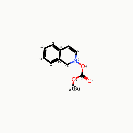 CC(C)(C)OC(=O)ON1C=Cc2ccccc2C1